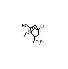 CCOC(=O)C1C[C@@]2(C)C[C@H](O)[C@]1(C)O2